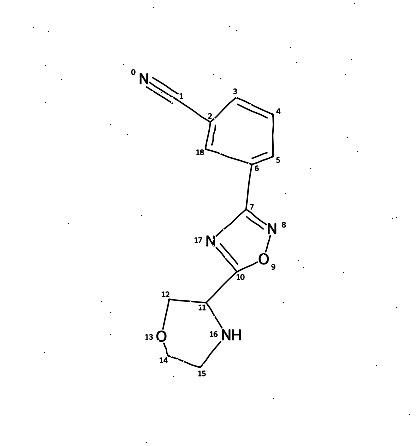 N#Cc1cccc(-c2noc(C3COCCN3)n2)c1